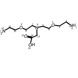 NCCOCCN(CCOCCN)CC(=O)O